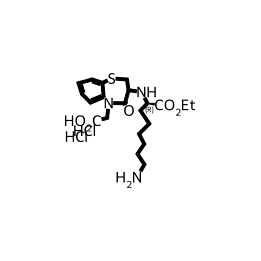 CCOC(=O)[C@@H](CCCCCCN)NC1CSc2ccccc2N(CC(=O)O)C1=O.Cl.Cl